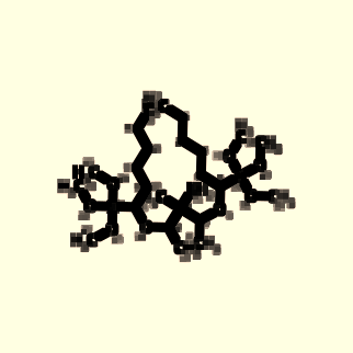 CCCCCC(OC(C)C(C)(N)C(C)OC(CCCCC)[Si](OC)(OC)OC)[Si](OC)(OC)OC